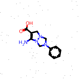 NC1=C(C(=O)O)CN2CN(c3ccccc3)CN12